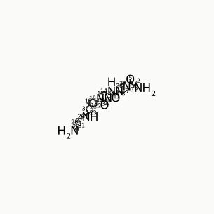 CC(C)(N)C(=O)N1CCN(C(=O)Nc2ccn(-c3ccc4c(c3)CC(NC[C@H]3C[C@H](N)C3)C4)c(=O)n2)CC1